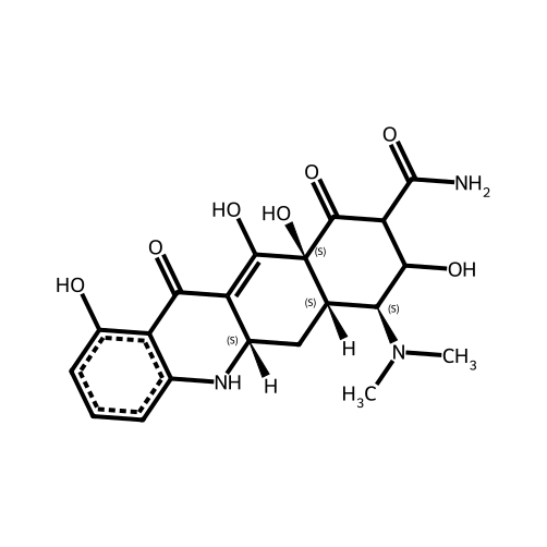 CN(C)[C@@H]1C(O)C(C(N)=O)C(=O)[C@@]2(O)C(O)=C3C(=O)c4c(O)cccc4N[C@H]3C[C@@H]12